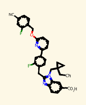 N#CCC1(Cn2c(Cc3ccc(-c4cccc(OCc5ccc(C#N)cc5F)n4)cc3F)nc3ccc(C(=O)O)cc32)CC1